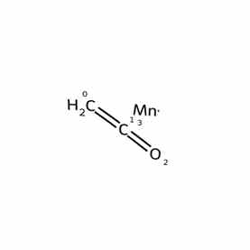 C=C=O.[Mn]